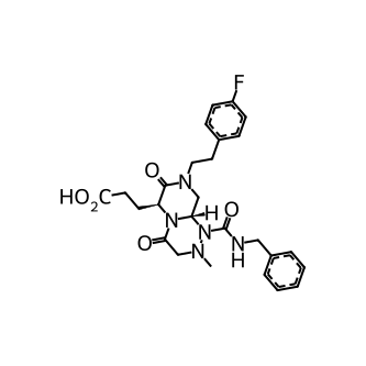 CN1CC(=O)N2[C@@H](CCC(=O)O)C(=O)N(CCc3ccc(F)cc3)C[C@@H]2N1C(=O)NCc1ccccc1